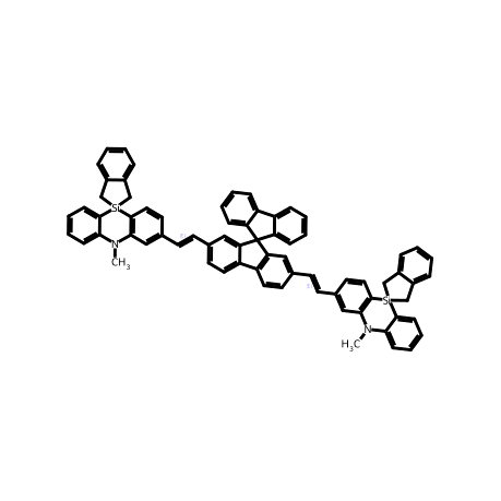 CN1c2ccccc2[Si]2(Cc3ccccc3C2)c2ccc(/C=C/c3ccc4c(c3)C3(c5ccccc5-c5ccccc53)c3cc(/C=C/c5ccc6c(c5)N(C)c5ccccc5[Si]65Cc6ccccc6C5)ccc3-4)cc21